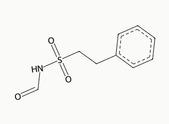 O=CNS(=O)(=O)CCc1ccccc1